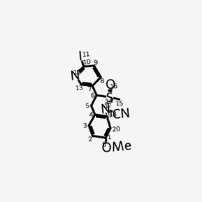 COc1ccc(CC(c2ccc(I)nc2)S(C)(=O)=NC#N)cc1